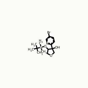 CC(C)(C)[Si](C)(C)OC1COCC1(O)c1ccc(Br)cn1